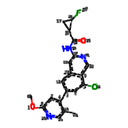 COc1cc(-c2cc(Cl)c3cnc(NC(=O)C4CC4F)cc3c2)c(C)cn1